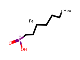 CCCCCCCCCCCC[PH](=O)O.[Fe]